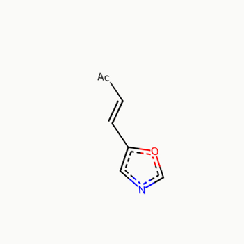 CC(=O)/C=C/c1cnco1